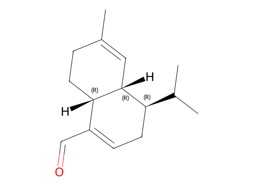 CC1=C[C@@H]2[C@@H](C(C)C)CC=C(C=O)[C@@H]2CC1